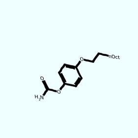 CCCCCCCCCCOc1ccc(OC(N)=O)cc1